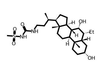 CC[C@H]1[C@@H](O)[C@@H]2[C@H](CC[C@]3(C)[C@@H]([C@H](C)CCNC(=O)NS(C)(=O)=O)CC[C@@H]23)[C@@]2(C)CC[C@@H](O)C[C@@H]12